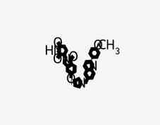 CO[C@H]1CC[C@H](c2ccc3cc(CN4CC[C@H](Oc5ccc6c(c5)CN(C5CCC(=O)NC5=O)C6=O)C4)ccc3n2)CC1